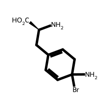 N[C@@H](CC1=CCC(N)(Br)C=C1)C(=O)O